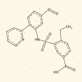 CCc1ccc(C(=O)O)cc1S(=O)(=O)Nc1cc([S+]=O)ccc1-c1ccccn1